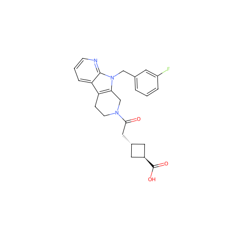 O=C(C[C@H]1C[C@H](C(=O)O)C1)N1CCc2c(n(Cc3cccc(F)c3)c3ncccc23)C1